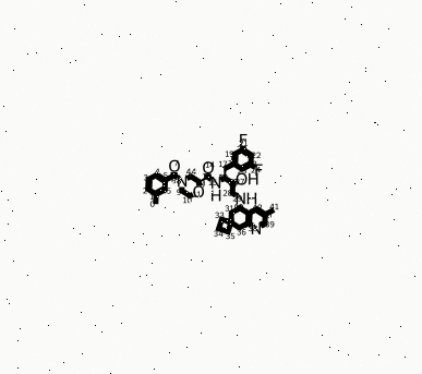 Cc1cccc(C(=O)N2CCO[C@H](C(=O)N[C@@H](Cc3cc(F)cc(F)c3)[C@H](O)CN[C@H]3CC4(CCC4)Cc4ncc(C)cc43)C2)c1